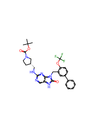 CC(C)(C)OC(=O)N1CC[C@@H](CNc2ncc3[nH]c(=O)n(Cc4cc(-c5ccccc5)ccc4OC(F)(F)F)c3n2)C1